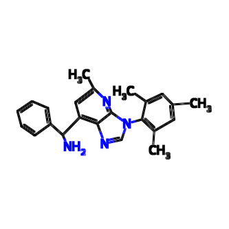 Cc1cc(C)c(-n2cnc3c(C(N)c4ccccc4)cc(C)nc32)c(C)c1